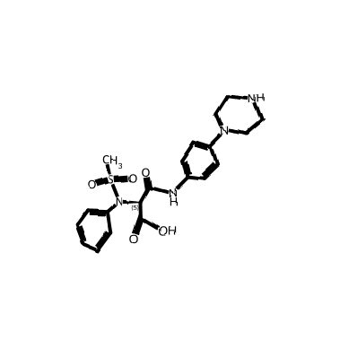 CS(=O)(=O)N(c1ccccc1)[C@H](C(=O)O)C(=O)Nc1ccc(N2CCNCC2)cc1